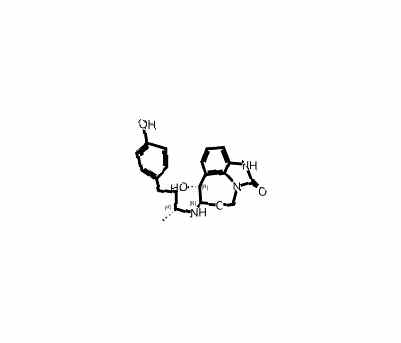 C[C@H](CCc1ccc(O)cc1)N[C@@H]1CCn2c(=O)[nH]c3cccc(c32)[C@H]1O